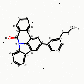 CCCc1cccc(-c2cc3c4ccccc4c(=O)n4c5ccccc5c(c2)c34)c1